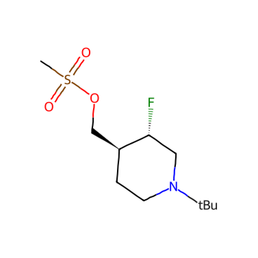 CC(C)(C)N1CC[C@@H](COS(C)(=O)=O)[C@H](F)C1